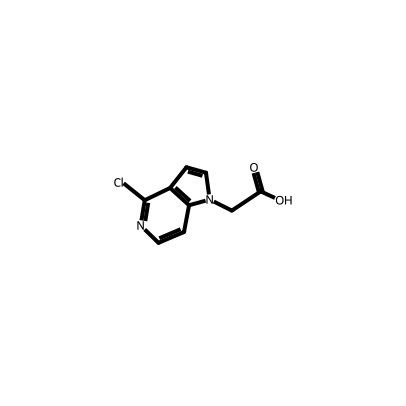 O=C(O)Cn1ccc2c(Cl)nccc21